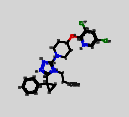 COCCn1c(N2CCC(Oc3ncc(Cl)cc3Cl)CC2)nnc1C1(c2ccccc2)CC1